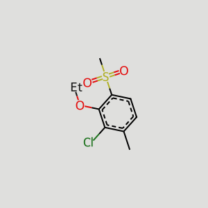 CCOc1c(S(C)(=O)=O)ccc(C)c1Cl